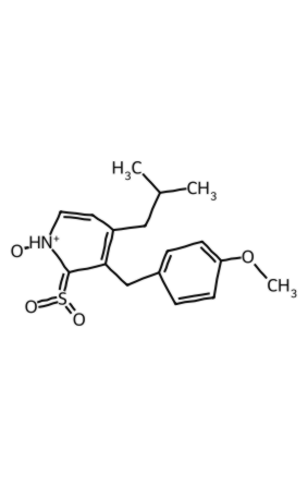 COc1ccc(CC2=C(CC(C)C)C=C[NH+]([O-])C2=S(=O)=O)cc1